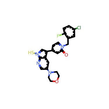 O=c1cc(-c2cn(S)c3ncc(N4CCOCC4)cc23)ccn1Cc1cc(Cl)ccc1F